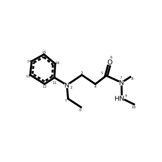 CCN(CCC(=O)N(C)NC)c1ccccc1